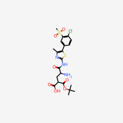 Cc1nc(NC(=O)C(N)CC(C(=O)O)C(=O)OC(C)(C)C)sc1-c1ccc(Cl)c(S(C)(=O)=O)c1